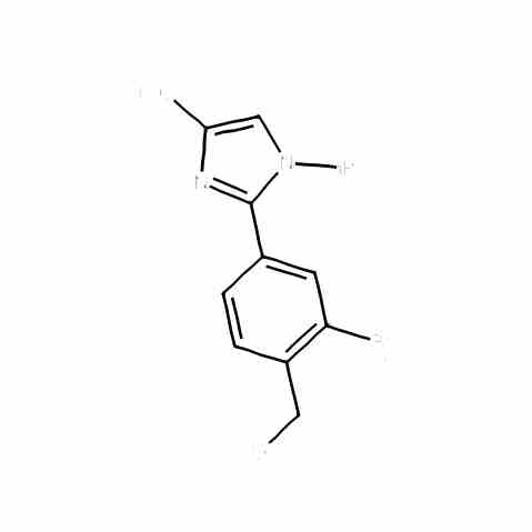 CC(C)n1cc(C(F)(F)F)nc1-c1ccc(CO)c(Br)c1